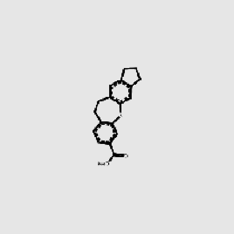 COC(=O)c1ccc2c(c1)Sc1cc3c(cc1CC2)CCC3